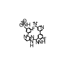 CN(C)Cc1cncc(-c2cc(F)c3[nH]nc(-c4nc5c(-c6cc(F)cc(CNS(C)(=O)=O)c6)nccc5[nH]4)c3c2)c1